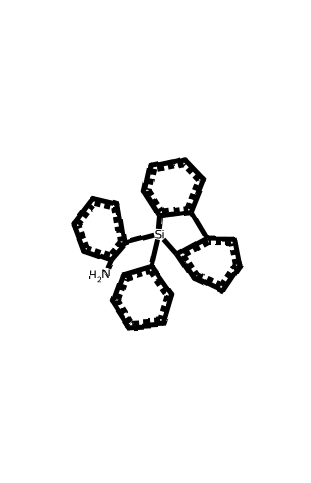 Nc1ccccc1[Si]1(c2ccccc2)c2ccccc2-c2ccccc21